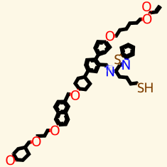 C=CC(=O)OCCCCCCOc1ccc(-c2ccc(C3CCC(OCc4ccc5cc(OCCCOCC6CCC7OC7C6)ccc5c4)CC3)cc2/C=N/C(CCCCS)c2nc3ccccc3s2)cc1